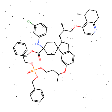 CC(CCOP(=O)(OCc1ccccc1)OCc1ccccc1)Oc1ccc2c(c1)C1(CCC(Nc3cccc(Cl)c3)(C(=O)OC(C)(C)C)CC1)[C@@H](C[C@@H](C)COc1ccnc3c1[C@H](C)CCC3)C2